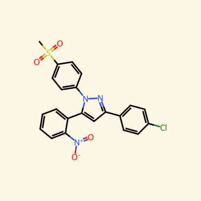 CS(=O)(=O)c1ccc(-n2nc(-c3ccc(Cl)cc3)cc2-c2ccccc2[N+](=O)[O-])cc1